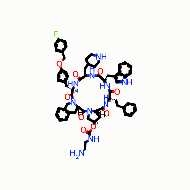 NCCNC(=O)O[C@@H]1C[C@H]2C(=O)N[C@@H](CCc3ccccc3)C(=O)N[C@H](Cc3c[nH]c4ccccc34)C(=O)NC(CC3CCNCC3)C(=O)N[C@@H](Cc3ccc(OCc4ccc(F)cc4)cc3)C(=O)N3Cc4ccccc4C[C@H]3C(=O)N2C1